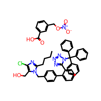 CCCCc1nc(Cl)c(CO)n1Cc1ccc(-c2ccccc2-c2nnnn2C(c2ccccc2)(c2ccccc2)c2ccccc2)cc1.O=C(O)c1cccc(CO[N+](=O)[O-])c1